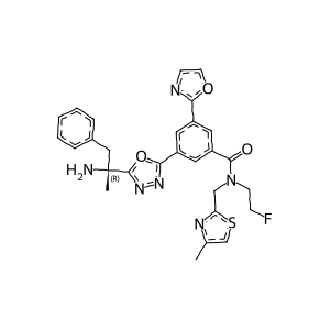 Cc1csc(CN(CCF)C(=O)c2cc(-c3ncco3)cc(-c3nnc([C@](C)(N)Cc4ccccc4)o3)c2)n1